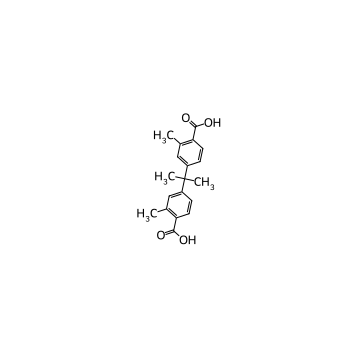 Cc1cc(C(C)(C)c2ccc(C(=O)O)c(C)c2)ccc1C(=O)O